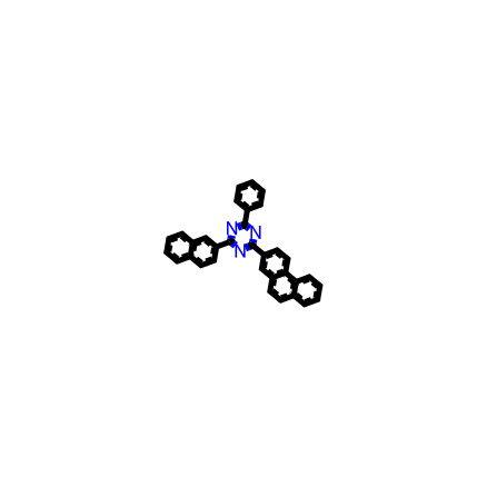 c1ccc(-c2nc(-c3ccc4ccccc4c3)nc(-c3ccc4c(ccc5ccccc54)c3)n2)cc1